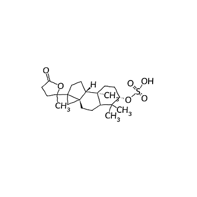 CC1(C)C2CC[C@@]34CC3(C3(C)CCC(=O)O3)CC[C@@H]4[C@@]2(C)CC[C@@H]1OS(=O)(=O)O